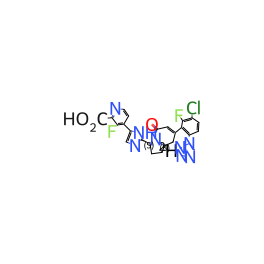 [2H][C@@]12CC[C@@H](c3ncc(-c4ccnc(C(=O)O)c4F)[nH]3)N1C(=O)C=C(c1c(-n3cnnn3)ccc(Cl)c1F)C2